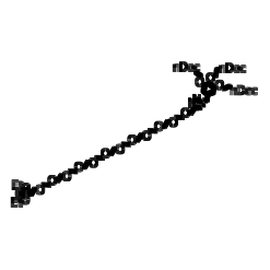 CCCCCCCCCCCCOc1cc(Cn2cc(COCCOCCOCCOCCOCCOCCOCCOCCOCCOCCOCCOCCP(=O)(OCC)OCC)nn2)cc(OCCCCCCCCCCCC)c1OCCCCCCCCCCCC